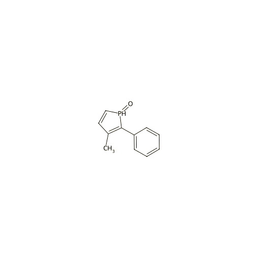 CC1=C(c2ccccc2)[PH](=O)C=C1